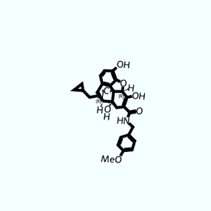 COc1ccc(CNC(=O)C2=C(O)[C@@H]3Oc4c(O)ccc5c4[C@@]34CCN(CC3CC3)[C@H](C5)[C@]4(O)C2)cc1